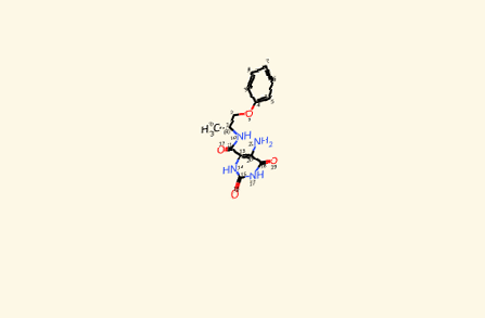 C[C@H](COc1ccccc1)NC(=O)c1[nH]c(=O)[nH]c(=O)c1N